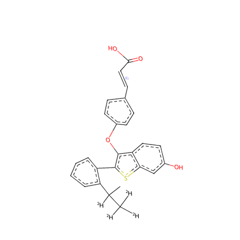 [2H]C([2H])([2H])C([2H])(C)c1ccccc1-c1sc2cc(O)ccc2c1Oc1ccc(/C=C/C(=O)O)cc1